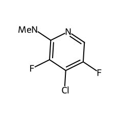 CNc1ncc(F)c(Cl)c1F